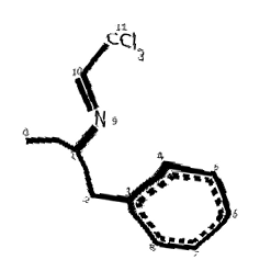 CC(Cc1ccccc1)N=CC(Cl)(Cl)Cl